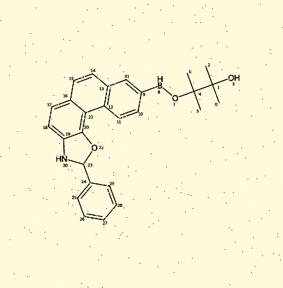 CC(C)(O)C(C)(C)OBc1ccc2c(ccc3ccc4c(c32)OC(c2ccccc2)N4)c1